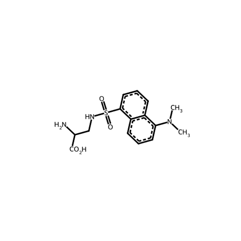 CN(C)c1cccc2c(S(=O)(=O)NCC(N)C(=O)O)cccc12